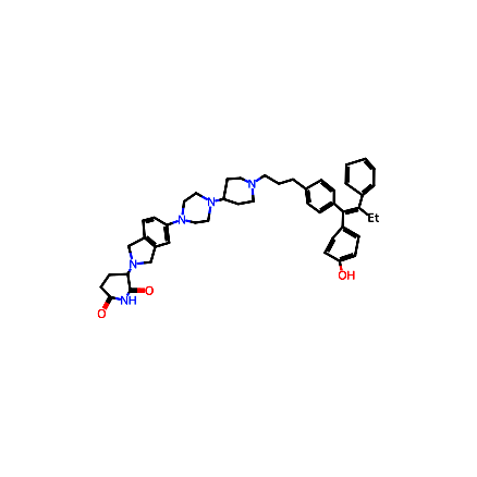 CC/C(=C(\c1ccc(O)cc1)c1ccc(CCCN2CCC(N3CCN(c4ccc5c(c4)CN(C4CCC(=O)NC4=O)C5)CC3)CC2)cc1)c1ccccc1